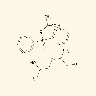 CC(O)COC(C)CO.CC(OP(=O)(c1ccccc1)c1ccccc1)C(=O)O